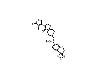 CC1=C(N2CCC3(CCN(C[C@@H](O)c4ccc5c(c4)CCc4nnnn4-5)CC3)C2=O)COC1=O